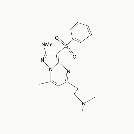 CNc1nn2c(C)cc(CCN(C)C)nc2c1S(=O)(=O)c1ccccc1